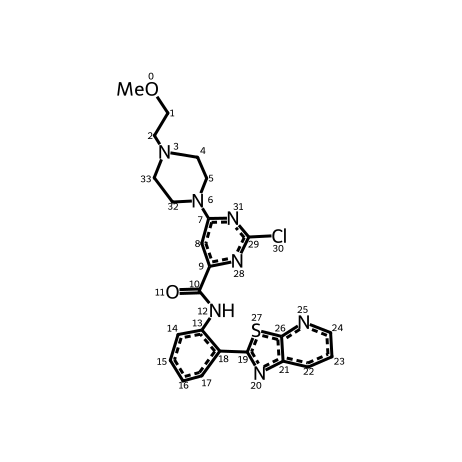 COCCN1CCN(c2cc(C(=O)Nc3ccccc3-c3nc4cccnc4s3)nc(Cl)n2)CC1